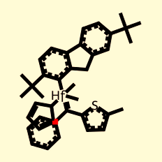 Cc1ccc([C](c2ccccc2)=[Hf]([CH3])([CH3])([c]2c(C(C)(C)C)ccc3c2Cc2cc(C(C)(C)C)ccc2-3)[CH]2C=CC=C2)s1